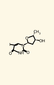 C[C@H]1O[C@H](n2cc(I)c(=O)[nH]c2=O)C[C@@H]1O